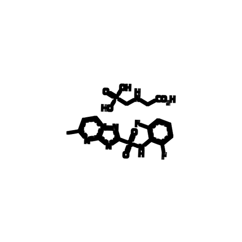 Cc1ccn2nc(S(=O)(=O)Nc3c(F)cccc3F)nc2n1.O=C(O)CNCP(=O)(O)O